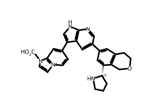 O=C(O)n1cc[n+]2ccc(-c3c[nH]c4ncc(-c5cc6c(c([C@@H]7CCCN7)c5)COCC6)cc34)cc12